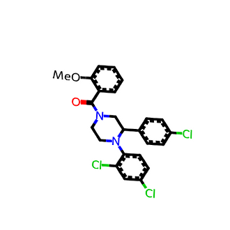 COc1ccccc1C(=O)N1CCN(c2ccc(Cl)cc2Cl)C(c2ccc(Cl)cc2)C1